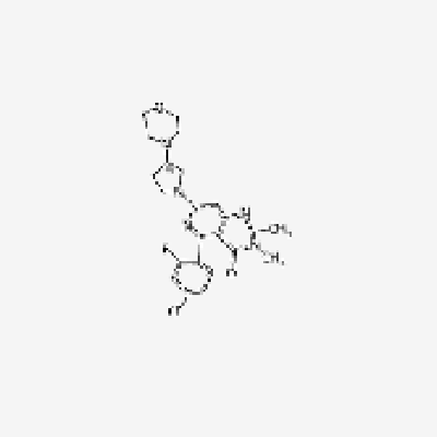 Cc1nc2cc(N3CC[C@@H](N4CCOCC4)C3)nc(-c3ccc(Cl)cc3F)c2c(=O)n1C